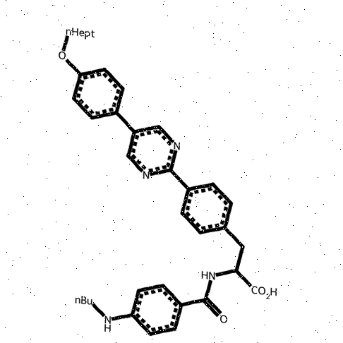 CCCCCCCOc1ccc(-c2cnc(-c3ccc(CC(NC(=O)c4ccc(NCCCC)cc4)C(=O)O)cc3)nc2)cc1